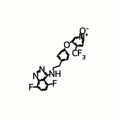 [O-][n+]1ccc(C(F)(F)F)c(Oc2ccc(CCNc3ncnc4c(F)ccc(F)c34)cc2)c1